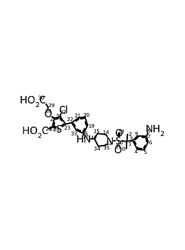 CC(C)(c1cccc(N)c1)S(=O)(=O)N1CCC(Nc2cccc(-c3sc(C(=O)O)c(OCC(=O)O)c3Cl)c2)CC1